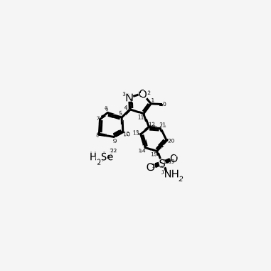 Cc1onc(-c2ccccc2)c1-c1ccc(S(N)(=O)=O)cc1.[SeH2]